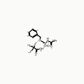 CC(C)C(=O)NN(C=O)OCc1ccccc1.O=C(O)C(F)(F)F